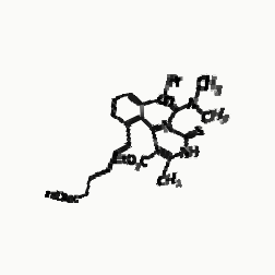 CCCCCCCCCCCCCCCc1cccc(OC(C)C)c1C1C(C(=O)OCC)=C(C)NC(=S)N1C(=O)N(C)C